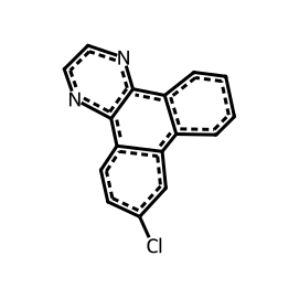 Clc1ccc2c(c1)c1ccccc1c1nccnc21